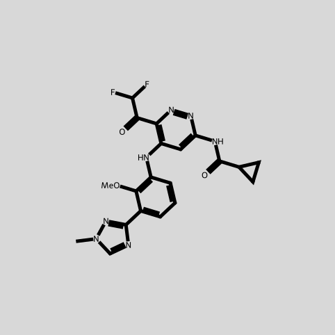 COc1c(Nc2cc(NC(=O)C3CC3)nnc2C(=O)C(F)F)cccc1-c1ncn(C)n1